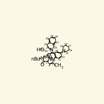 CCCCN(CCCC)C(=O)c1cc(C)n(-c2ccc(N3CCCCC3)cc2C(=O)N2Cc3ccccc3C[C@H]2CO)n1